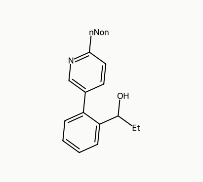 CCCCCCCCCc1ccc(-c2ccccc2C(O)CC)cn1